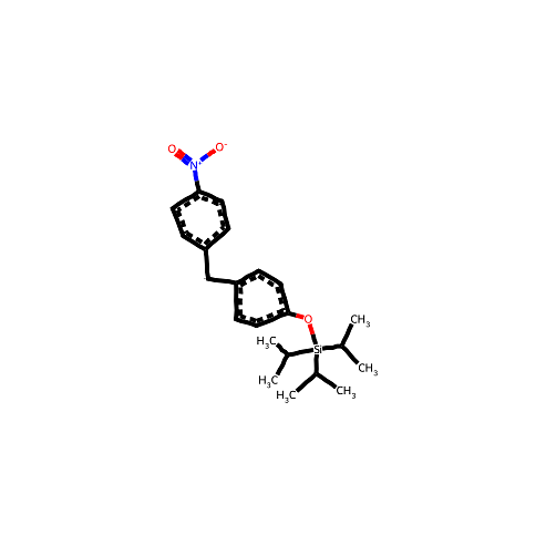 CC(C)[Si](Oc1ccc([CH]c2ccc([N+](=O)[O-])cc2)cc1)(C(C)C)C(C)C